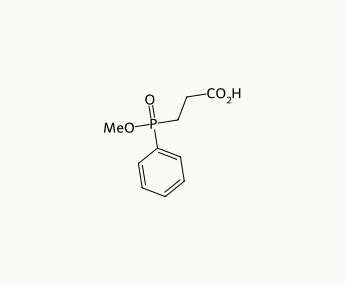 COP(=O)(CCC(=O)O)c1ccccc1